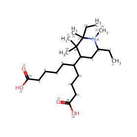 CCC1CC(C(CCCCC(=O)O)CCCC(=O)O)C(C)(C)C(C)(CC)N1C